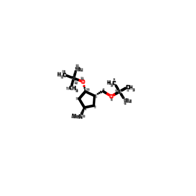 CN[C@@H]1C[C@@H](CO[Si](C)(C)C(C)(C)C)[C@@H](O[Si](C)(C)C(C)(C)C)C1